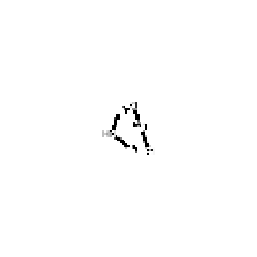 CC(C)NC(C)C.[Cl][Mg][Cl]